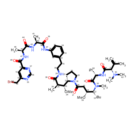 C=C(C)[C@@H](C(=O)N[C@H](C(=O)N(C)[C@@H]([C@@H](C)CC)[C@@H](CC(=O)N1CCC[C@H]1[C@H](OC)[C@@H](C)C(=O)NCCc1cccc(NC(=O)[C@H](C)NC(=O)[C@H](C)NC(=O)c2cc(CBr)ncn2)c1)OC)C(C)C)N(C)C